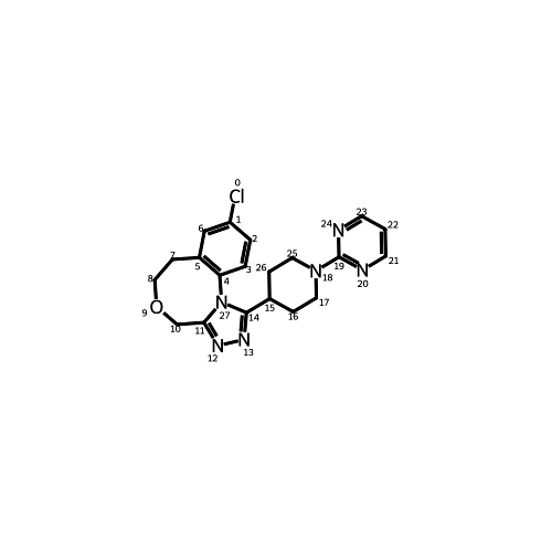 Clc1ccc2c(c1)CCOCc1nnc(C3CCN(c4ncccn4)CC3)n1-2